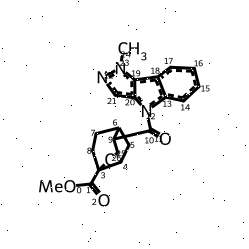 COC(=O)C12CCC(CC1)C(C(=O)n1c3ccccc3c3c1cnn3C)CC2